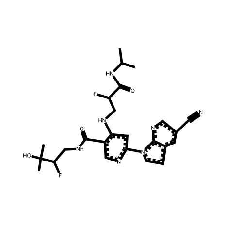 CC(C)NC(=O)C(F)CNc1cc(-n2ccc3cc(C#N)cnc32)ncc1C(=O)NCC(F)C(C)(C)O